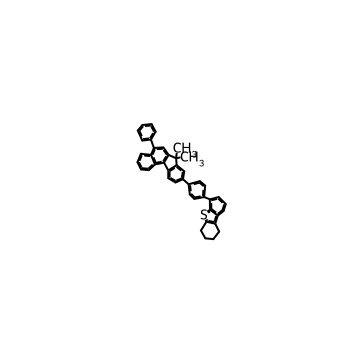 CC1(C)c2cc(-c3ccc(-c4cccc5c6c(sc45)CCCC6)cc3)ccc2-c2c1cc(-c1ccccc1)c1ccccc21